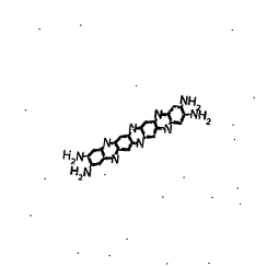 Nc1cc2nc3cc4nc5cc6nc7cc(N)c(N)cc7nc6cc5nc4cc3nc2cc1N